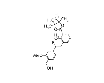 COc1cc(/C(F)=C/c2cccc(B3OC(C)(C)C(C)(C)O3)c2C)ccc1CO